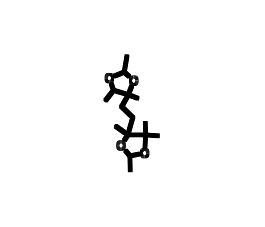 CC1OC(C)C(C)(CCC2(C)OC(C)OC2(C)C)O1